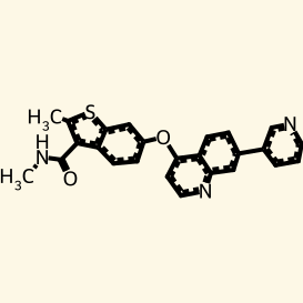 CNC(=O)c1c(C)sc2cc(Oc3ccnc4cc(-c5cccnc5)ccc34)ccc12